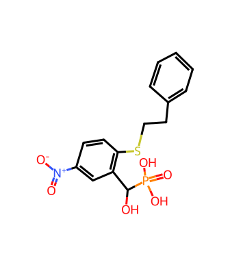 O=[N+]([O-])c1ccc(SCCc2ccccc2)c(C(O)P(=O)(O)O)c1